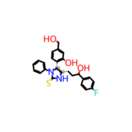 OCc1ccc([C@@H]2[C@H](CCC(O)c3ccc(F)cc3)NC(=S)N2c2ccccc2)c(O)c1